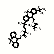 CC(C)(C)C(=O)OCC1c2cc(C(C)(C)C)ccc2S(=O)(=O)c2ccc(C(C)(C)CCC(C)(C)C(=O)OCC3c4ccccc4S(=O)(=O)c4ccccc43)cc21